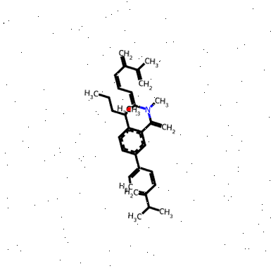 C=C(C)C(=C)/C=C\C=C(/C)N(C)C(=C)c1cc(C(/C=C\C(=C)C(C)C)=C/C)ccc1C(C)CCC